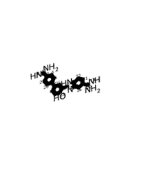 N=C(N)c1ccc(-c2ccc(O)c(-c3nc4cc(C(=N)N)ccc4[nH]3)c2)cc1